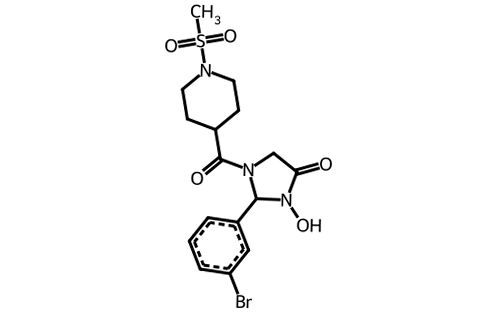 CS(=O)(=O)N1CCC(C(=O)N2CC(=O)N(O)C2c2cccc(Br)c2)CC1